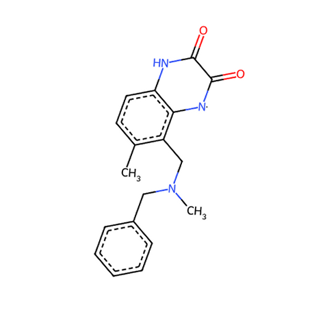 Cc1ccc2c(c1CN(C)Cc1ccccc1)[N]C(=O)C(=O)N2